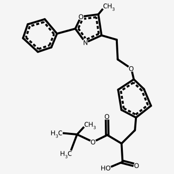 Cc1oc(-c2ccccc2)nc1CCOc1ccc(CC(C(=O)O)C(=O)OC(C)(C)C)cc1